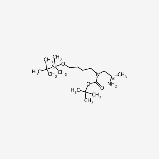 C[C@H](N)CN(CCCCO[Si](C)(C)C(C)(C)C)C(=O)OC(C)(C)C